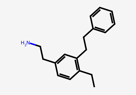 CCc1ccc(CCN)cc1CCc1ccccc1